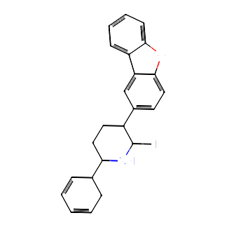 CC(C)C1NC(C2C=CC=CC2)CCC1c1ccc2oc3ccccc3c2c1